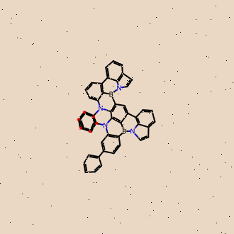 c1ccc(-c2ccc3c(c2)N(c2ccccc2)c2c4c(cc5c2N(c2ccccc2)c2cccc6c2B5n2ccc5cccc-6c52)-c2cccc5ccn(c25)B34)cc1